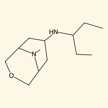 CCC(CC)NC1CC2COCC(C1)N2C